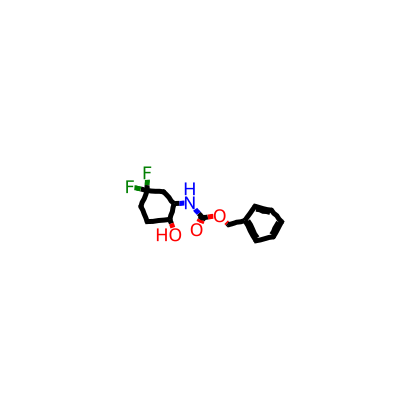 O=C(NC1CC(F)(F)CCC1O)OCc1ccccc1